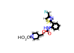 O=C(Nc1ccccc1-c1nc(CF)cs1)OCC1CCN(C(=O)O)CC1